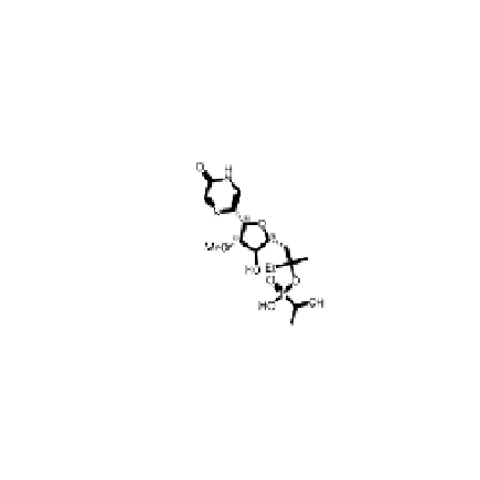 CCC(C)(C[C@H]1O[C@@H](c2c[nH]c(=O)cn2)[C@@H](OC)C1O)OP(=O)(O)C(C)O